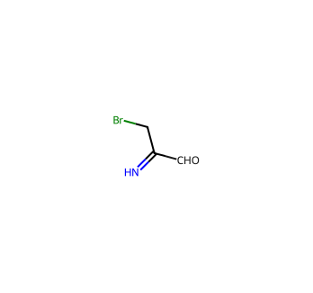 N=C(C=O)CBr